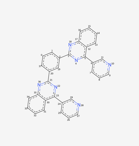 c1cc(-c2nc(-c3cccnc3)c3ccccc3n2)cc(-c2nc(-c3cccnc3)c3ccccc3n2)c1